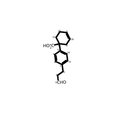 O=CCCc1ccc(C2(C(=O)O)CC=CCC2)cc1